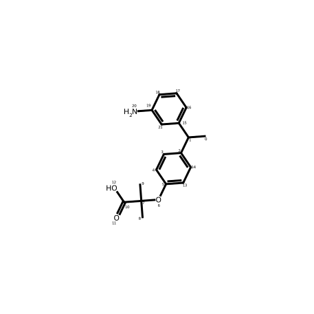 CC(c1ccc(OC(C)(C)C(=O)O)cc1)c1cccc(N)c1